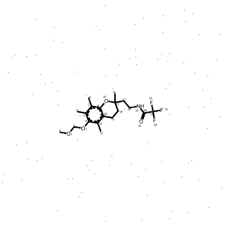 COCOc1c(C)c(C)c2c(c1C)CCC(C)(CCNC(=O)C(F)(F)F)O2